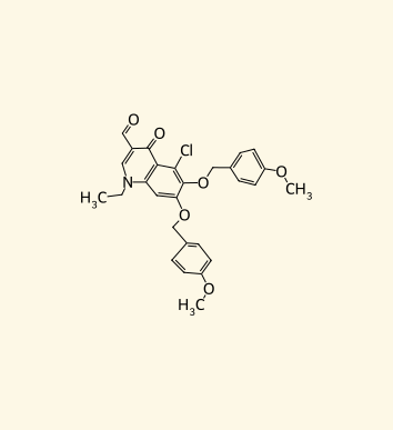 CCn1cc(C=O)c(=O)c2c(Cl)c(OCc3ccc(OC)cc3)c(OCc3ccc(OC)cc3)cc21